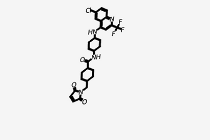 O=C(NC1CCC(Nc2cc(C(F)(F)F)nc3ccc(Cl)cc23)CC1)C1CCC(CN2C(=O)C=CC2=O)CC1